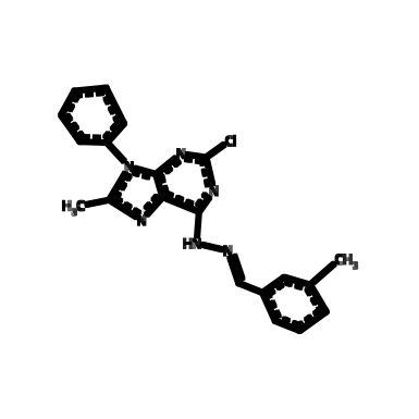 Cc1cccc(C=NNc2nc(Cl)nc3c2nc(C)n3-c2ccccc2)c1